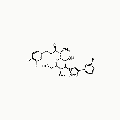 CN(C(=O)CCc1ccc(F)c(F)c1)[C@@H]1OC(CO)[C@H](O)C(n2cc(-c3cccc(F)c3)nn2)C1O